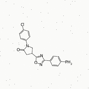 O=C1CC(c2nc(-c3ccc(P)cc3)no2)CN1c1ccc(Cl)cc1